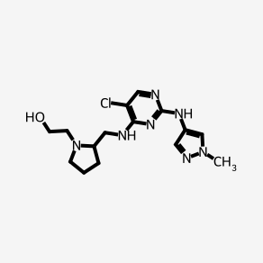 Cn1cc(Nc2ncc(Cl)c(NCC3CCCN3CCO)n2)cn1